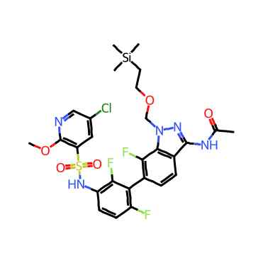 COc1ncc(Cl)cc1S(=O)(=O)Nc1ccc(F)c(-c2ccc3c(NC(C)=O)nn(COCC[Si](C)(C)C)c3c2F)c1F